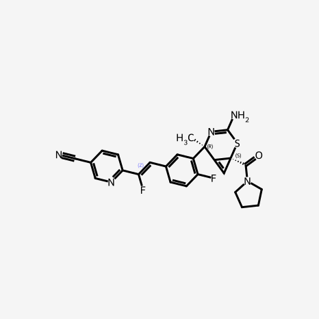 C[C@]1(c2cc(/C=C(\F)c3ccc(C#N)cn3)ccc2F)N=C(N)S[C@@]2(C(=O)N3CCCC3)C=C21